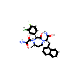 C[C@@H]1CCN([C@H](Cc2cccc3ccccc23)C(N)=O)C(=O)[C@H](c2ccc(F)c(Cl)c2)N1C(=O)C(N)=O